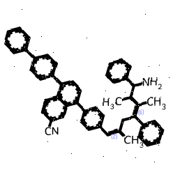 C/C(=C/c1ccc(-c2ccc(-c3ccc(-c4ccccc4)cc3)c3ccc(C#N)cc23)cc1)C/C(=C(/C)C(C)C(N)c1ccccc1)c1ccccc1